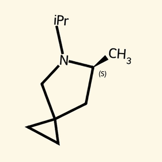 CC(C)N1CC2(CC2)C[C@@H]1C